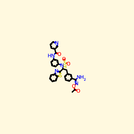 CC(=O)O/N=C(/N)c1cccc(CC(c2nc3ccccc3s2)N(c2cccc(NC(=O)c3cccnc3)c2)[SH](=O)=O)c1